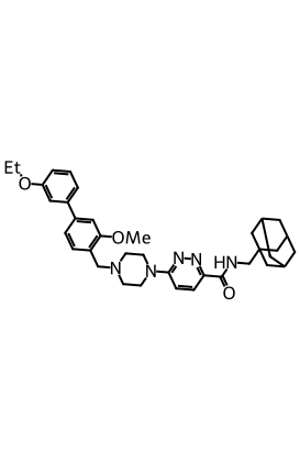 CCOc1cccc(-c2ccc(CN3CCN(c4ccc(C(=O)NCC56CC7CC(CC(C7)C5)C6)nn4)CC3)c(OC)c2)c1